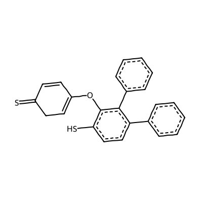 S=C1C=CC(Oc2c(S)ccc(-c3ccccc3)c2-c2ccccc2)=CC1